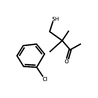 CC(=O)C(C)(C)CS.Clc1ccccc1